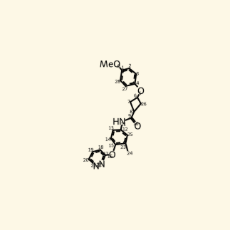 COc1ccc(OC2CC(C(=O)Nc3ccc(Oc4cccnn4)c(C)c3)C2)cc1